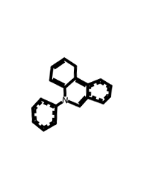 C1=CCC2=c3ccccc3=CN(c3ccccc3)C2=C1